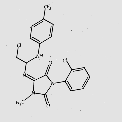 CN1C(=O)N(c2ccccc2Cl)C(=O)C1=NC(CCl)Nc1ccc(C(F)(F)F)cc1